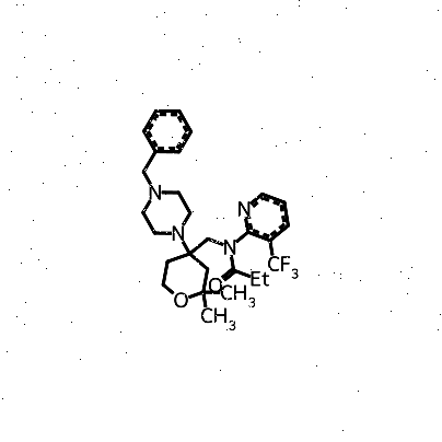 CCC(=O)N(CC1(N2CCN(Cc3ccccc3)CC2)CCOC(C)(C)C1)c1ncccc1C(F)(F)F